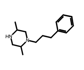 CC1CN(CCCc2ccccc2)C(C)CN1